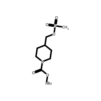 CCCCOC(=O)N1CCC(COS(C)(=O)=O)CC1